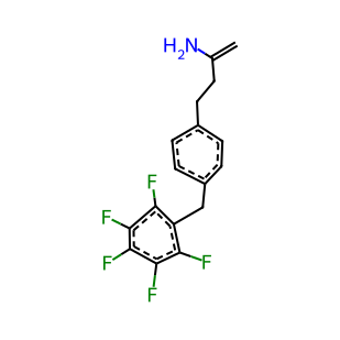 C=C(N)CCc1ccc(Cc2c(F)c(F)c(F)c(F)c2F)cc1